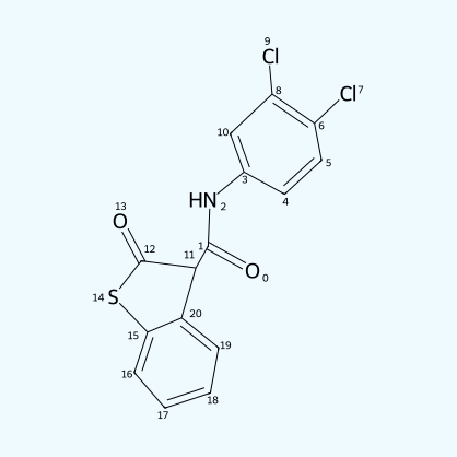 O=C(Nc1ccc(Cl)c(Cl)c1)C1C(=O)Sc2ccccc21